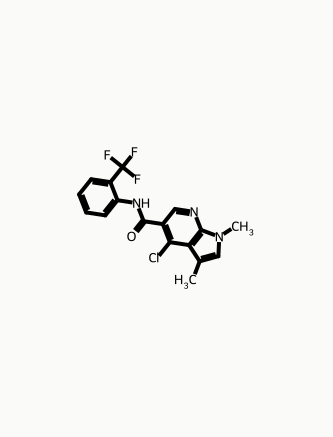 Cc1cn(C)c2ncc(C(=O)Nc3ccccc3C(F)(F)F)c(Cl)c12